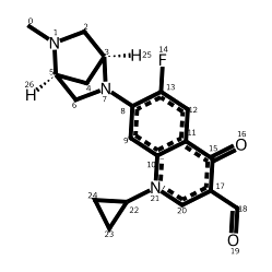 CN1C[C@@H]2C[C@H]1CN2c1cc2c(cc1F)c(=O)c(C=O)cn2C1CC1